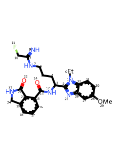 CCn1c(C(CCCNC(=N)CF)NC(=O)c2cccc3c2C(=O)NC3)nc2cc(OC)ccc21